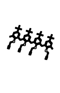 C#CCOc1c(C)cc(C(C)(C)C)cc1Cc1cc(C(C)(C)C)cc(Cc2cc(C(C)(C)C)cc(Cc3cc(C(C)(C)C)cc(C)c3OCC#C)c2OCC#C)c1OCC#C